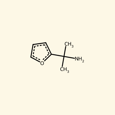 CC(C)(N)c1ccco1